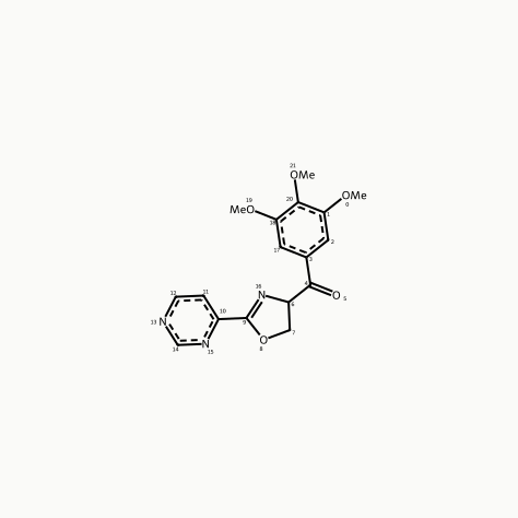 COc1cc(C(=O)C2COC(c3ccncn3)=N2)cc(OC)c1OC